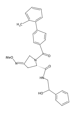 CO/N=C1/C[C@@H](C(=O)NCC(O)c2ccccc2)N(C(=O)c2ccc(-c3ccccc3C)cc2)C1